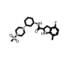 Cc1ccc(F)c2c1NC(C(=O)N[C@@H]1CCC[C@@H](N3CCN(S(C)(=O)=O)CC3)C1)C2